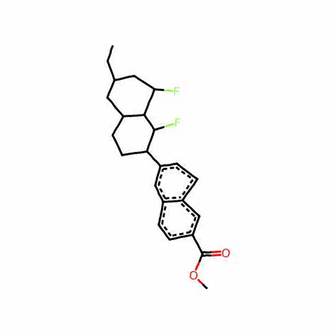 CCC1CC(F)C2C(CCC(c3ccc4cc(C(=O)OC)ccc4c3)C2F)C1